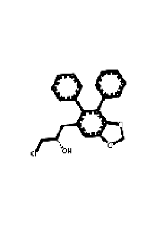 O[C@H](CCl)Cc1cc2c(c(-c3ccccc3)c1-c1ccccc1)OCO2